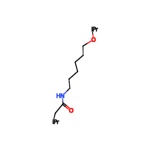 CC(C)CC(=O)NCCCCCCOC(C)C